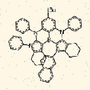 CC(C)(C)c1cc2c3c(c1)N(c1ccccc1)c1c(c4c(n1-c1ccccc1)CCCC4)B3c1c(c3c(n1-c1ccc4ccccc4c1)CCCC3)N2c1ccccc1